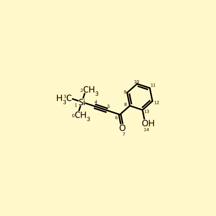 C[Si](C)(C)C#CC(=O)c1ccccc1O